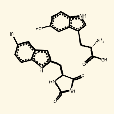 N[C@@H](Cc1c[nH]c2ccc(O)cc12)C(=O)O.O=C1NC(=O)C(Cc2cc3cc(O)ccc3[nH]2)N1